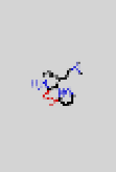 CN(C)CCC(C(C(N)=O)n1ncccc1=O)C(C)(C)C